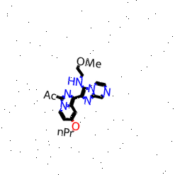 CCCOc1ccn2c(C(C)=O)nc(-c3nc4cnccn4c3NCCOC)c2c1